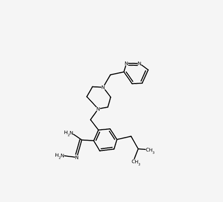 CC(C)Cc1ccc(/C(N)=N/N)c(CN2CCN(Cc3cccnn3)CC2)c1